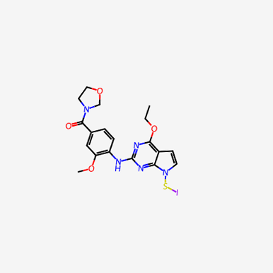 CCOc1nc(Nc2ccc(C(=O)N3CCOC3)cc2OC)nc2c1ccn2SI